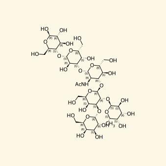 CC(=O)N[C@H]1[C@H](O[C@H]2[C@@H](O)[C@@H](CO)O[C@@H](O[C@H]3[C@H](O)[C@@H](O)[C@H](O)O[C@@H]3CO)[C@@H]2O)O[C@H](CO)[C@@H](O)[C@@H]1O[C@@H]1O[C@H](CO)[C@H](O)[C@H](O[C@H]2O[C@H](CO)[C@H](O)[C@H](O)[C@H]2O)[C@H]1O[C@@H]1O[C@@H](C)[C@@H](O)[C@@H](O)[C@@H]1O